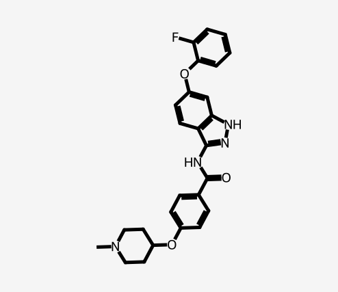 CN1CCC(Oc2ccc(C(=O)Nc3n[nH]c4cc(Oc5ccccc5F)ccc34)cc2)CC1